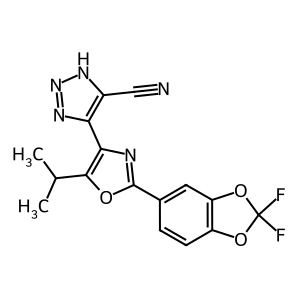 CC(C)c1oc(-c2ccc3c(c2)OC(F)(F)O3)nc1-c1nn[nH]c1C#N